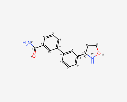 NC(=O)c1cccc(-c2cccc([C@H]3CCON3)c2)c1